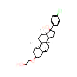 C[C@]12CCC(OCCO)CC1=CC[C@@H]1[C@H]2CC[C@@]2(C)[C@H]1CCC2(O)c1ccc(Cl)cc1